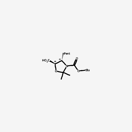 CCCCC[C@H]1[C@H](C(=O)O)OC(C)(C)N1C(=O)OC(C)(C)C